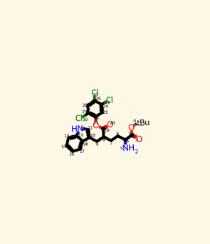 CC(C)(C)OC(=O)C(N)CCC(Cc1c[nH]c2ccccc12)C(=O)Oc1cc(Cl)c(Cl)cc1Cl